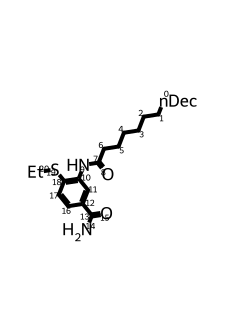 CCCCCCCCCCCCCCCCC(=O)Nc1cc(C(N)=O)ccc1SCC